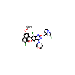 CCc1c(F)ccc2cc(OCOC)cc(-c3c(O)cc4c(N5CCCOCC5)nc(OC[C@@]56CCCN5C[C@H](F)C6)nc4c3F)c12